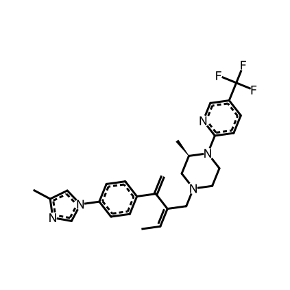 C=C(/C(=C\C)CN1CCN(c2ccc(C(F)(F)F)cn2)[C@H](C)C1)c1ccc(-n2cnc(C)c2)cc1